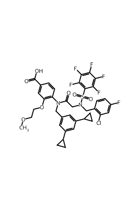 COCCOc1cc(C(=O)O)ccc1N(Cc1cc(C2CC2)cc(C2CC2)c1)C(=O)CN(Cc1ccc(F)cc1Cl)S(=O)(=O)c1c(F)c(F)c(F)c(F)c1F